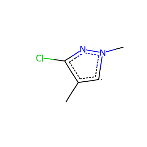 Cc1[c]n(C)nc1Cl